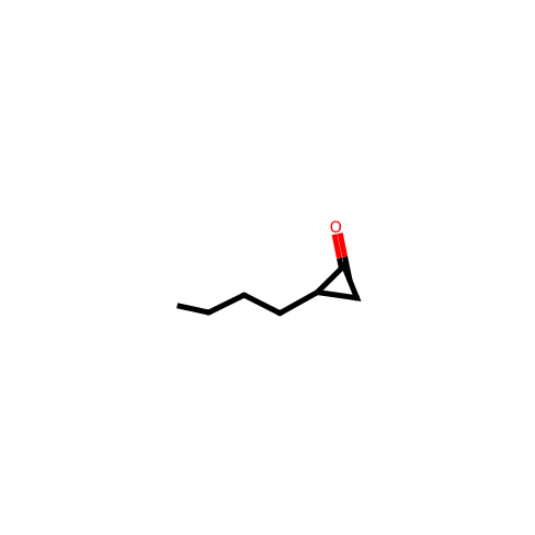 CCCCC1CC1=O